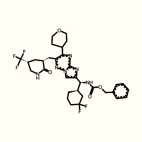 O=C(N[C@H](c1cn2nc(C[C@H]3C[C@@H](C(F)(F)F)CNC3=O)c(C3CCOCC3)nc2n1)[C@@H]1CCCC(F)(F)C1)OCc1ccccc1